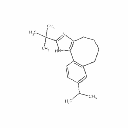 CC(C)c1ccc2c(c1)CCCCc1nc(C(C)(C)C)[nH]c1-2